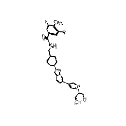 O=C(NCC1CCC(n2cc3ccc(-c4cnn(C(CO)CCl)c4)cc3n2)CC1)c1cc(F)c(O)c(F)c1